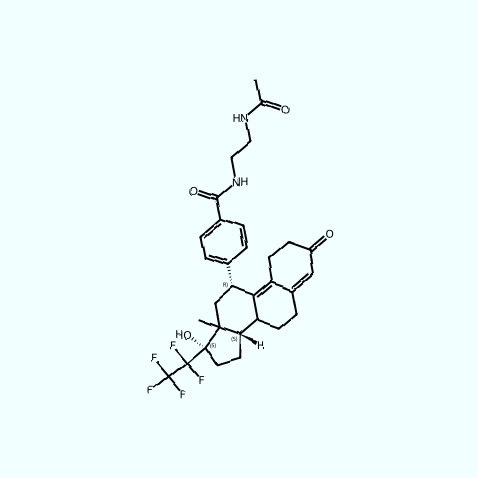 CC(=O)NCCNC(=O)c1ccc([C@H]2CC3(C)[C@@H](CC[C@@]3(O)C(F)(F)C(F)(F)F)C3CCC4=CC(=O)CCC4=C32)cc1